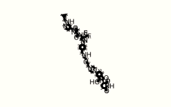 O=C1CCC(N2C(=O)c3ccc(N4CCN(CCOCCNCc5ccc(-n6cc(NC(=O)c7coc(-c8ccnc(NCC9CC9)c8)n7)c(C(F)F)n6)cc5)CC4)cc3C2O)C(=O)N1